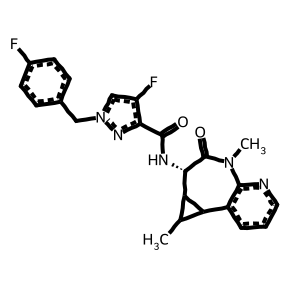 CC1C2c3cccnc3N(C)C(=O)[C@@H](NC(=O)c3nn(Cc4ccc(F)cc4)cc3F)C12